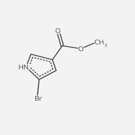 COC(=O)c1c[nH]c(Br)c1